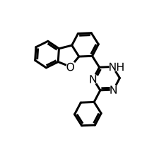 C1=CCC(C2=NCNC(C3=CC=CC4c5ccccc5OC34)=N2)C=C1